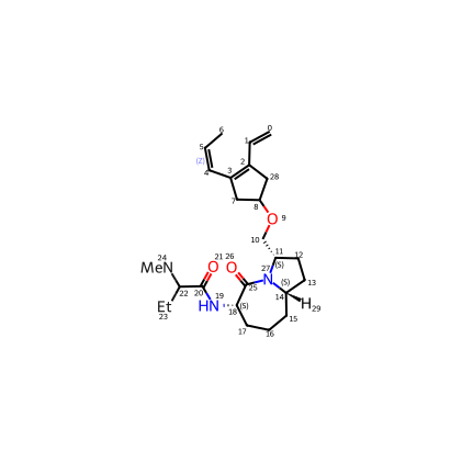 C=CC1=C(/C=C\C)CC(OC[C@@H]2CC[C@@H]3CCC[C@H](NC(=O)C(CC)NC)C(=O)N32)C1